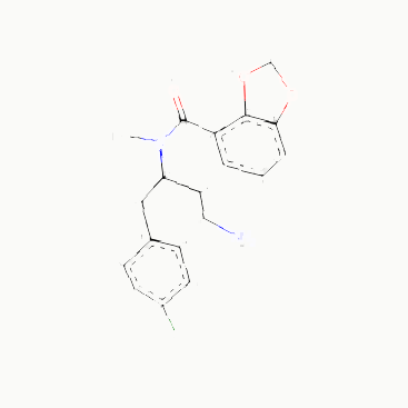 CN(C(=O)c1cccc2c1OCO2)C(CCN)Cc1ccc(Cl)cc1